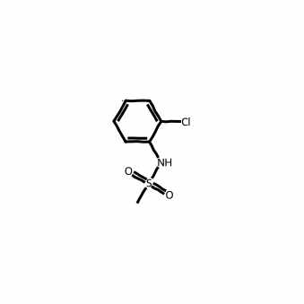 CS(=O)(=O)Nc1cc[c]cc1Cl